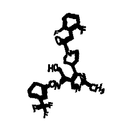 Cc1ncc(/C(CO)=N/Oc2cccc(C(F)(F)F)c2)c(C2CCN(C(=O)Cc3c(F)cccc3F)CC2)n1